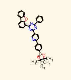 CC1(C)OB(c2ccc(-c3ccc(-c4nc(-c5ccccc5)nc(-c5cccc6c5oc5ccccc56)n4)cn3)cc2)OC1(C)C